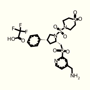 NCc1ccnc(S(=O)(=O)C[C@@H]2C[C@H](c3ccccc3)CN2S(=O)(=O)N2CCS(=O)(=O)CC2)c1.O=C(O)C(F)(F)F